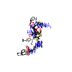 C#CCON=C(C(=O)NC1C(=O)N2C(C(=O)O)=C(CSc3nnnn3CCCNC(=O)OC(C)(C)C)CS[C@@H]12)c1nsc(N)n1